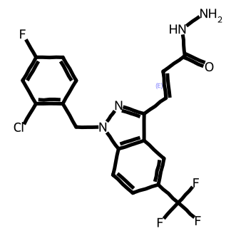 NNC(=O)/C=C/c1nn(Cc2ccc(F)cc2Cl)c2ccc(C(F)(F)F)cc12